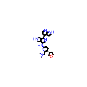 CN(C)Cc1nc(Nc2cnc(-c3ccnc4[nH]ccc34)c3c2CNC3)ccc1[C@H]1CCOC1